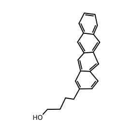 OCCCCc1ccc2cc3cc4ccccc4cc3cc2c1